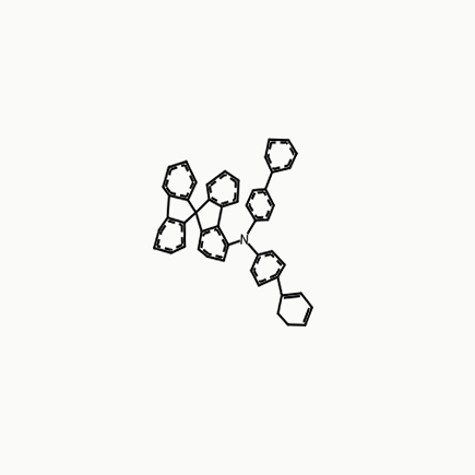 C1=CCCC(c2ccc(N(c3ccc(-c4ccccc4)cc3)c3cccc4c3-c3ccccc3C43c4ccccc4-c4ccccc43)cc2)=C1